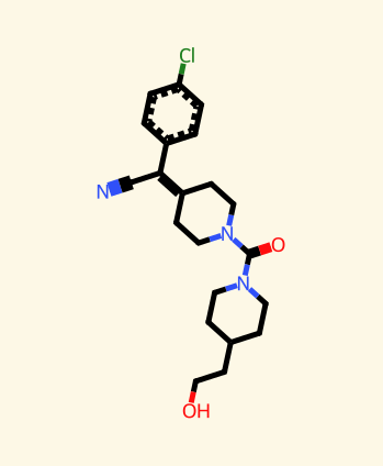 N#CC(=C1CCN(C(=O)N2CCC(CCO)CC2)CC1)c1ccc(Cl)cc1